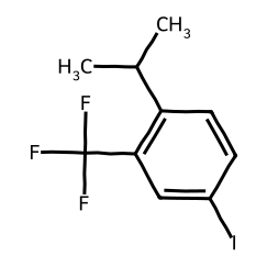 CC(C)c1ccc(I)cc1C(F)(F)F